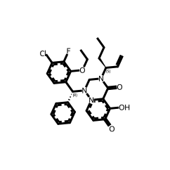 C=C[C@H](CCC)N1CN([C@H](c2ccccc2)c2ccc(Cl)c(F)c2OCC)n2ccc(=O)c(O)c2C1=O